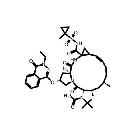 CCn1nc(O[C@@H]2C[C@H]3C(=O)NC4(C(=O)NS(=O)(=O)C5(C)CC5)CC4/C=C\CC[C@@H](C)C[C@@H](C)[C@H](N(C(=O)O)C(C)(C)C)C(=O)N3C2)c2ccccc2c1=O